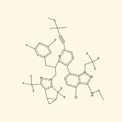 CSNc1nn(CC(F)(F)F)c2c(-c3ccc(C#CC(C)(C)SC)nc3C(Cc3cc(F)cc(F)c3)Cn3nc(C(F)(F)F)c4c3C(F)(F)C3CC43)ccc(Cl)c12